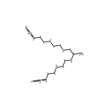 CC(COCCOCCN=[N+]=[N-])OCCOCCN=[N+]=[N-]